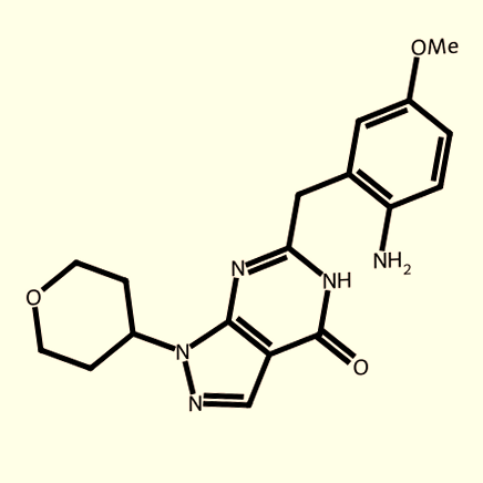 COc1ccc(N)c(Cc2nc3c(cnn3C3CCOCC3)c(=O)[nH]2)c1